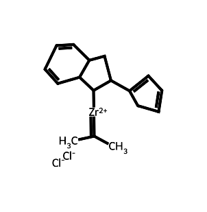 C[C](C)=[Zr+2][CH]1C(C2=CC=CC2)CC2C=CC=CC21.[Cl-].[Cl-]